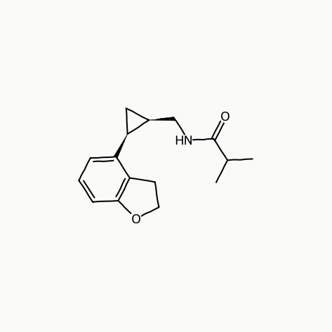 CC(C)C(=O)NC[C@@H]1C[C@@H]1c1cccc2c1CCO2